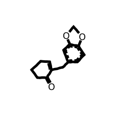 O=C1CCCC=C1Cc1ccc2c(c1)OCO2